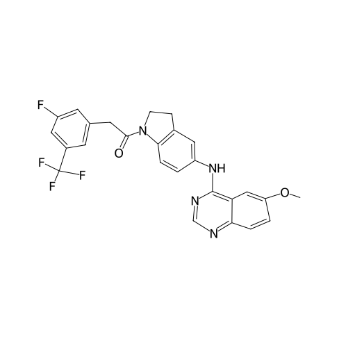 COc1ccc2ncnc(Nc3ccc4c(c3)CCN4C(=O)Cc3cc(F)cc(C(F)(F)F)c3)c2c1